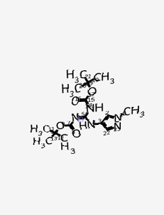 Cn1cc(N/C(=N\C(=O)OC(C)(C)C)NC(=O)OC(C)(C)C)cn1